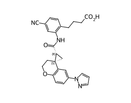 N#Cc1ccc(CCCC(=O)O)c(NC(=O)[C@@H]2C[C@]23CCOc2ccc(-n4cccn4)cc23)c1